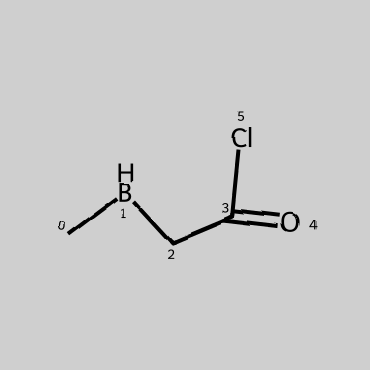 CBCC(=O)Cl